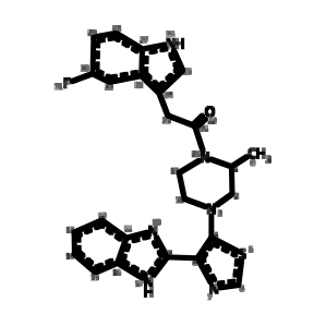 CC1CN(c2scnc2-c2nc3ccccc3[nH]2)CCN1C(=O)Cc1c[nH]c2ccc(F)cc12